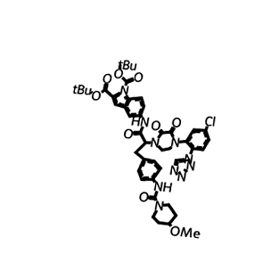 COC1CCN(C(=O)Nc2ccc(CC(C(=O)Nc3ccc4c(c3)cc(C(=O)OC(C)(C)C)n4C(=O)OC(C)(C)C)N3CCN(c4cc(Cl)ccc4-n4cnnn4)C(=O)C3=O)cc2)CC1